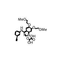 C#Cc1cccc(Nc2ncnc3cc(OCCOC)c(OCCOC)cc23)c1.O=C(O)C(=O)O